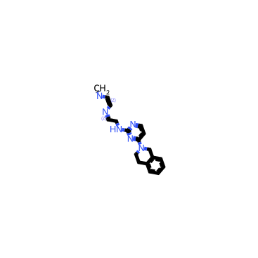 C=N/C=C\N=C/CNc1nccc(N2CCc3ccccc3C2)n1